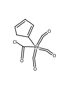 O=[C]=[Re](=[C]=O)(=[C]=O)([C](=O)Cl)[C]1=CC=CC1